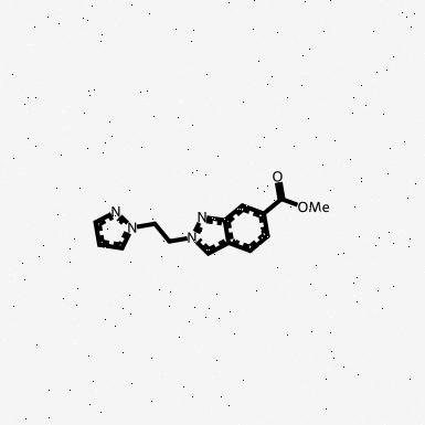 COC(=O)c1ccc2cn(CCn3cccn3)nc2c1